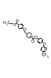 C=CCOC(=O)c1ccc(OCC2CCN(C(=O)Oc3ccc(Oc4ccc(C(F)(F)F)cn4)cc3)CC2)cc1